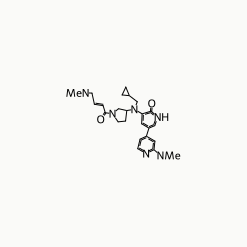 CNC/C=C/C(=O)N1CCC(N(CC2CC2)c2cc(-c3ccnc(NC)c3)c[nH]c2=O)C1